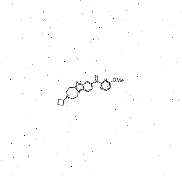 COc1ccnc(Nc2ccc3c(c2)nc2n3CCN(C3CCC3)CC2)n1